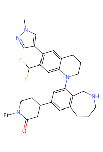 CCN1CCC(c2cc3c(c(N4CCCc5cc(-c6cnn(C)c6)c(C(F)F)cc54)c2)CNCCC3)CC1=O